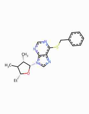 CC[C@H]1O[C@@H](n2cnc3c(SCc4ccccc4)ncnc32)[C@@H](C)C1C